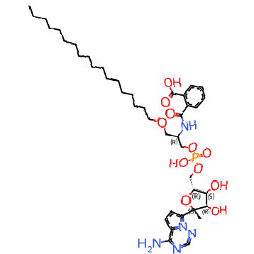 CCCCCCCCCCCCCCCCCCOC[C@H](COP(=O)(O)OC[C@H]1O[C@@](C)(c2ccc3c(N)ncnn23)[C@H](O)[C@@H]1O)NC(=O)c1ccccc1C(=O)O